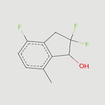 Cc1ccc(F)c2c1C(O)C(F)(F)C2